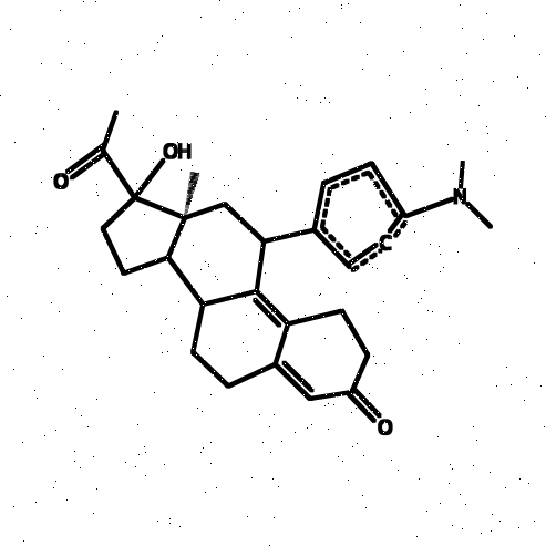 CC(=O)C1(O)CCC2C3CCC4=CC(=O)CCC4=C3C(c3ccc(N(C)C)cc3)C[C@@]21C